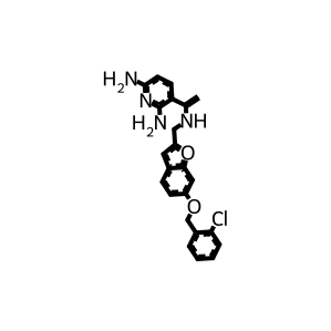 C=C(NCc1cc2ccc(OCc3ccccc3Cl)cc2o1)c1ccc(N)nc1N